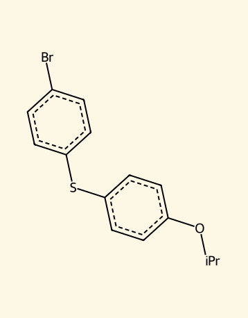 CC(C)Oc1ccc(Sc2ccc(Br)cc2)cc1